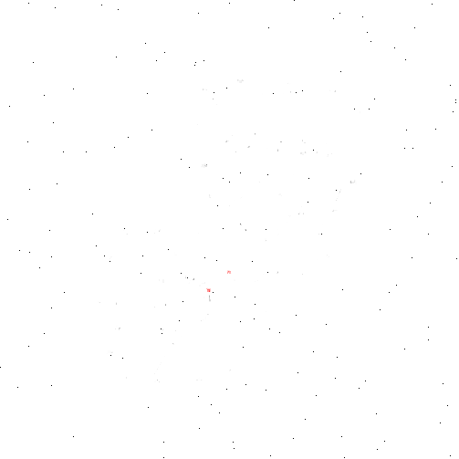 c1ccc(-c2ccccc2N(c2ccc3c(c2)-c2ccccc2C32c3ccccc3Oc3ccccc32)c2cccc3c2-c2ccccc2C32c3ccccc3Oc3ccccc32)cc1